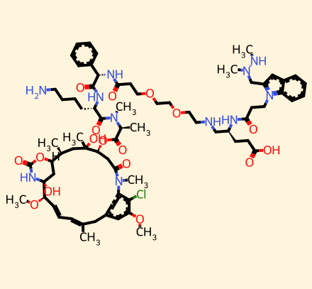 CNN(C)Cc1cc2ccccc2n1CCC(=O)N[C@@H](CCC(=O)O)CNCCOCCOCCC(=O)N[C@H](C(=O)N[C@@H](CCCCN)C(=O)N(C)[C@@H](C)C(=O)O[C@H]1CC(=O)N(C)c2cc(cc(OC)c2Cl)C/C(C)=C/C=C/[C@@H](OC)[C@@]2(O)C[C@H](OC(=O)N2)[C@@H](C)CC1(C)O)c1ccccc1